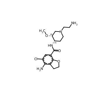 CO[C@@H]1CN(CCN)CC[C@@H]1NC(=O)c1cc(Cl)c(N)c2c1OCC2